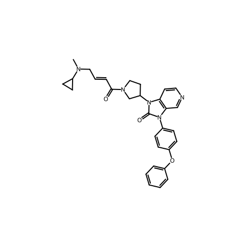 CN(CC=CC(=O)N1CCC(n2c(=O)n(-c3ccc(Oc4ccccc4)cc3)c3cnccc32)C1)C1CC1